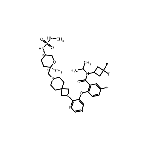 CNS(=O)(=O)N[C@@H]1CC[C@](C)(CN2CCC3(CC2)CN(c2ncncc2Oc2ccc(F)cc2C(=O)N(C(C)C)C2CC(F)(F)C2)C3)OC1